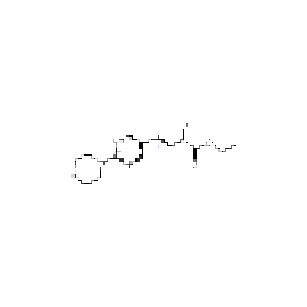 CCOC(=O)C(=O)/C=C/c1cnc(N2CCOCC2)nc1